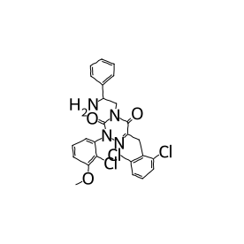 COc1cccc(-n2nc(Cc3c(Cl)cccc3Cl)c(=O)n(CC(N)c3ccccc3)c2=O)c1Cl